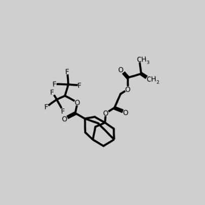 C=C(C)C(=O)OCC(=O)OC12CC3CC(C1)CC(C(=O)OC(C(F)(F)F)C(F)(F)F)(C3)C2